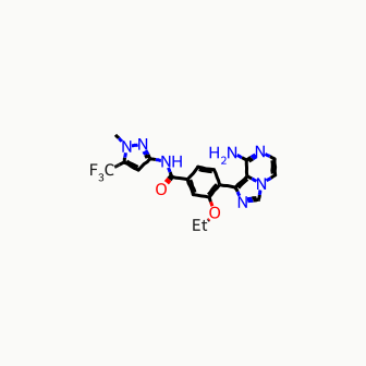 CCOc1cc(C(=O)Nc2cc(C(F)(F)F)n(C)n2)ccc1-c1ncn2ccnc(N)c12